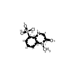 Cn1c(=O)cnc2c(S(=O)(=O)Cl)cccc21